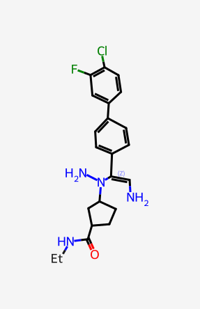 CCNC(=O)C1CCC(N(N)/C(=C\N)c2ccc(-c3ccc(Cl)c(F)c3)cc2)C1